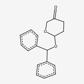 O=C1CCC(OC(c2ccccc2)c2ccccc2)OC1